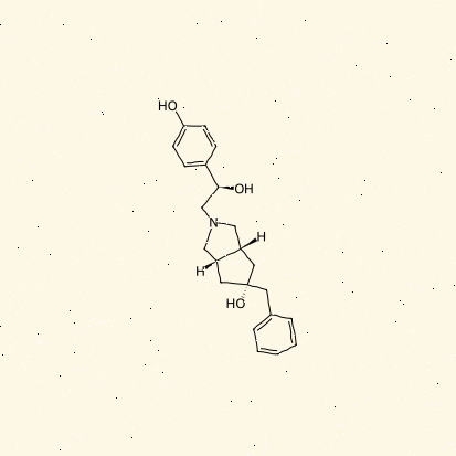 Oc1ccc([C@@H](O)CN2C[C@@H]3C[C@@](O)(Cc4ccccc4)C[C@@H]3C2)cc1